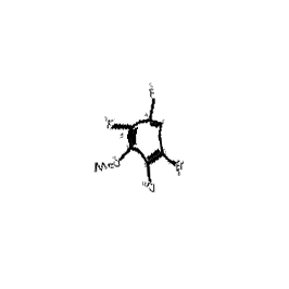 COc1c(F)c(F)cc(Br)c1Cl